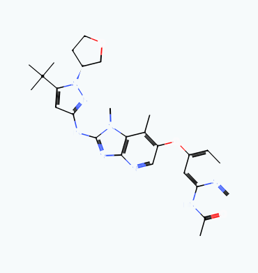 C=N/C(=C\C(=C/C)Oc1cnc2nc(Nc3cc(C(C)(C)C)n([C@H]4CCOC4)n3)n(C)c2c1C)NC(C)=O